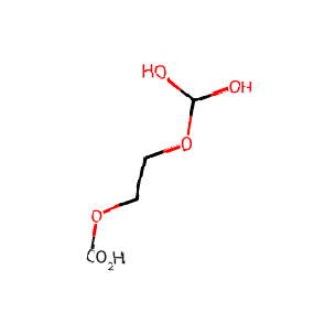 O=C(O)OCCOC(O)O